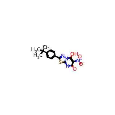 CC(C)(C)c1ccc(-c2nn3c(O)c([N+](=O)[O-])c(=O)nc3s2)cc1